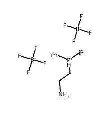 CC(C)[PH+](CC[NH3+])C(C)C.F[B-](F)(F)F.F[B-](F)(F)F